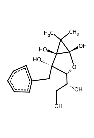 CC1(C)[C@]2(O)[C@@]1(O)O[C@H]([C@H](O)CO)[C@@]2(O)Cc1ccccc1